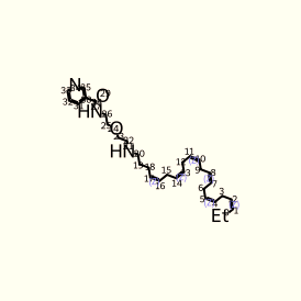 CC/C=C\C/C=C\C/C=C\C/C=C\C/C=C\C/C=C\CCCNCCOCCNC(=O)c1cccnc1